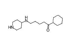 O=C(CCCCNC1CCNCC1)C1CCCCC1